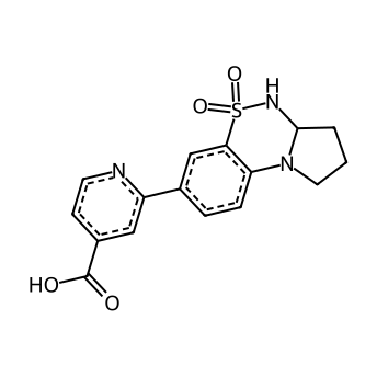 O=C(O)c1ccnc(-c2ccc3c(c2)S(=O)(=O)NC2CCCN32)c1